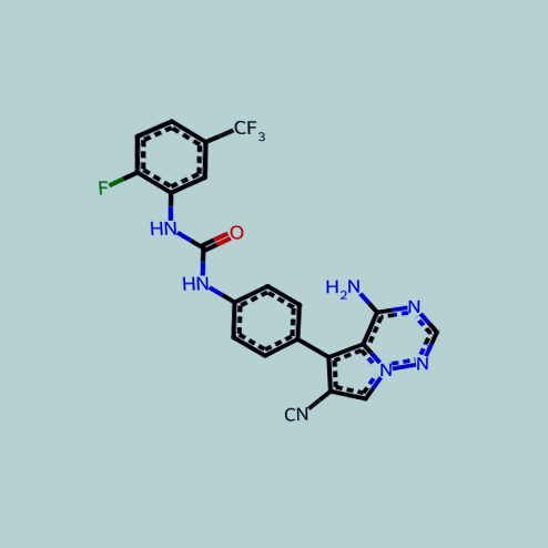 [C-]#[N+]c1cn2ncnc(N)c2c1-c1ccc(NC(=O)Nc2cc(C(F)(F)F)ccc2F)cc1